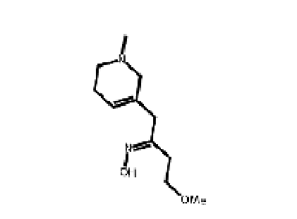 COCCC(CC1=CCCN(C)C1)=NO